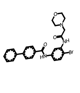 O=C(CN1CCOCC1)Nc1cc(NC(=O)c2ccc(-c3ccccc3)cc2)ccc1Br